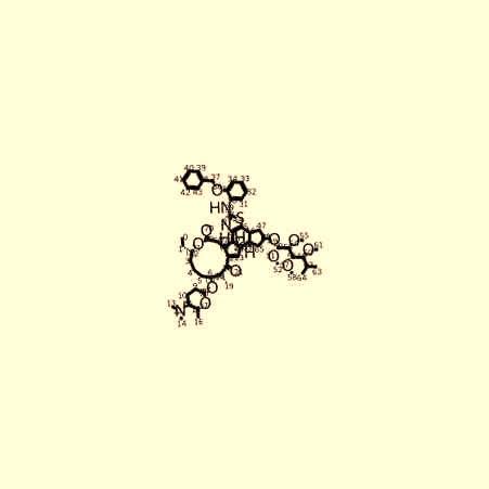 CC[C@H]1CCC[C@H](O[C@H]2CC[C@H](N(C)C)C(C)O2)[C@@H](C)C(=O)C2=C[C@@H]3C(c4nc(Nc5ccccc5OCc5ccccc5)sc4C4C[C@@H](OC(OC)C(OC)C(OC)C(OC)C(C)C)C[C@H]43)[C@@H]2CC(=O)O1